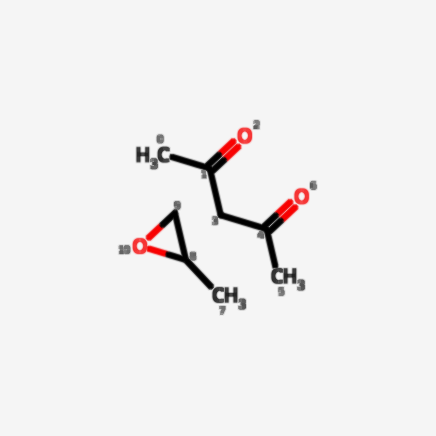 CC(=O)CC(C)=O.CC1CO1